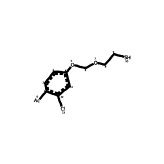 CC(=O)c1ccc(OCOCCS)cc1Cl